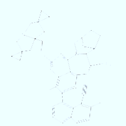 C#Cc1c(F)ccc2cccc(-c3nc4c5c(nc(OCC67CC8(CC8)CN6CC6(CC6)C7)nc5c3F)N3CC5CCC(C3C(C)O4)N5C(=O)O)c12